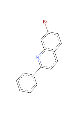 Brc1ccc2ccc(-c3ccccc3)nc2c1